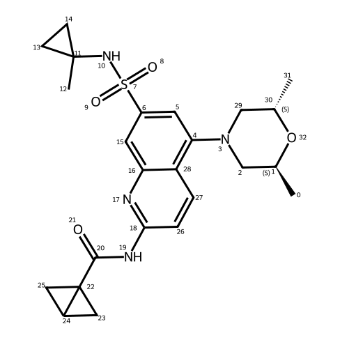 C[C@H]1CN(c2cc(S(=O)(=O)NC3(C)CC3)cc3nc(NC(=O)C45CC4C5)ccc23)C[C@H](C)O1